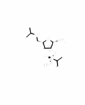 B[C@@H]1O[C@H](COC(C)C)C[C@H]1OP(=O)(O)C(C)C